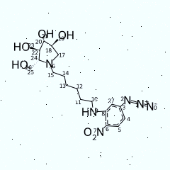 [N-]=[N+]=Nc1ccc([N+](=O)[O-])c(NCCCCCCN2C[C@H](O)[C@@H](O)[C@H](O)[C@H]2CO)c1